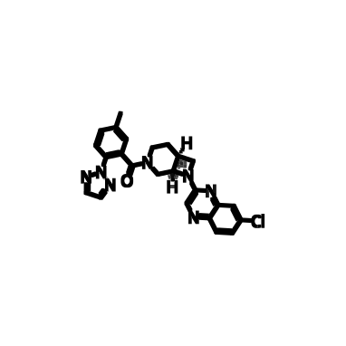 Cc1ccc(-n2nccn2)c(C(=O)N2CC[C@H]3CN(c4cnc5ccc(Cl)cc5n4)[C@H]3C2)c1